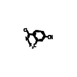 C/N=C(/Cl)c1ccc(C#N)cc1C(F)(F)F